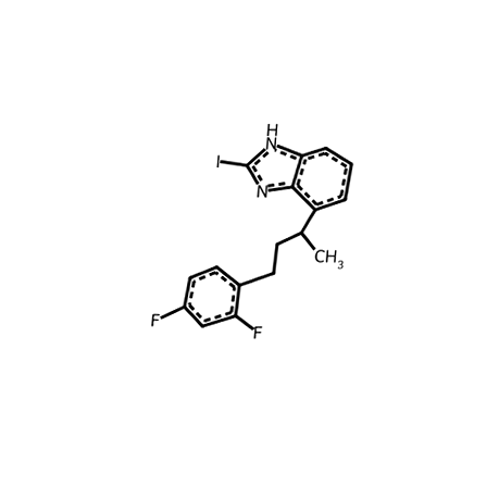 CC(CCc1ccc(F)cc1F)c1cccc2[nH]c(I)nc12